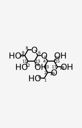 OCC1CC(OC2OCC(O)C(O)C2O)C(O)C(O)O1